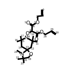 C=CCOC(=O)C(ON1C(C)(C)CC2(CC1(C)C)OCC(C)(C)N2C)C(=O)OCC=C